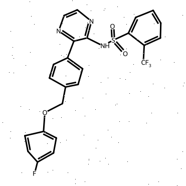 O=S(=O)(Nc1nccnc1-c1ccc(COc2ccc(F)cc2)cc1)c1ccccc1C(F)(F)F